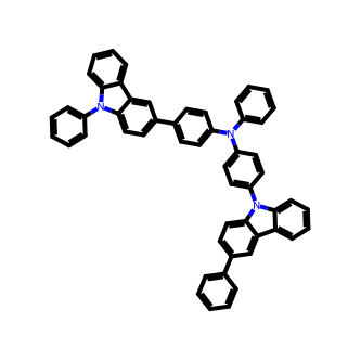 c1ccc(-c2ccc3c(c2)c2ccccc2n3-c2ccc(N(c3ccccc3)c3ccc(-c4ccc5c(c4)c4ccccc4n5-c4ccccc4)cc3)cc2)cc1